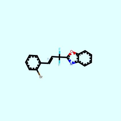 FC(F)(/C=C/c1ccccc1Br)c1nc2ccccc2o1